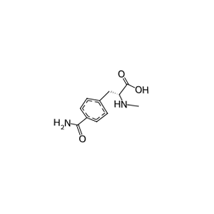 CN[C@H](Cc1ccc(C(N)=O)cc1)C(=O)O